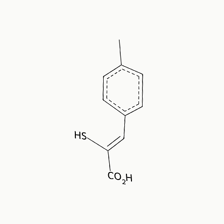 Cc1ccc(C=C(S)C(=O)O)cc1